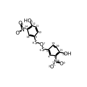 O=[N+]([O-])c1cc(SOSc2ccc(O)c([N+](=O)[O-])c2)ccc1O